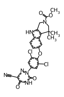 COC(=O)N1Cc2[nH]c3ccc(Oc4c(Cl)cc(-n5nc(C#N)c(=O)[nH]c5=O)cc4Cl)cc3c2C(C)(C)C1